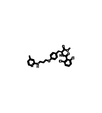 COC(=O)[C@H](Cc1ccc(OCCCNc2cc(C)ccn2)cc1)NC(=O)c1c(Cl)cccc1Cl